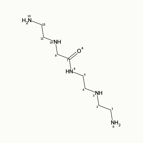 NCCNCCNC(=O)CNCCN